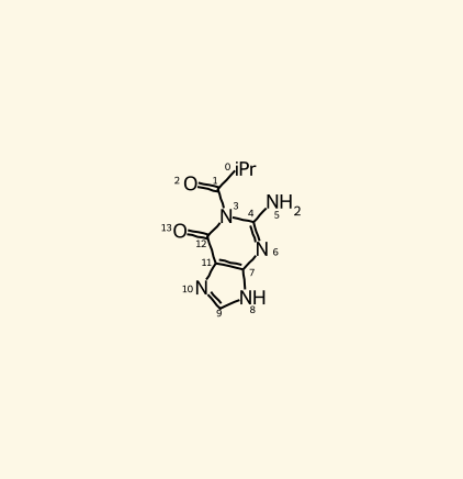 CC(C)C(=O)n1c(N)nc2[nH]cnc2c1=O